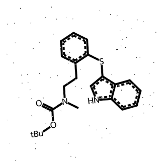 CN(CCc1ccccc1Sc1c[nH]c2ccccc12)C(=O)OC(C)(C)C